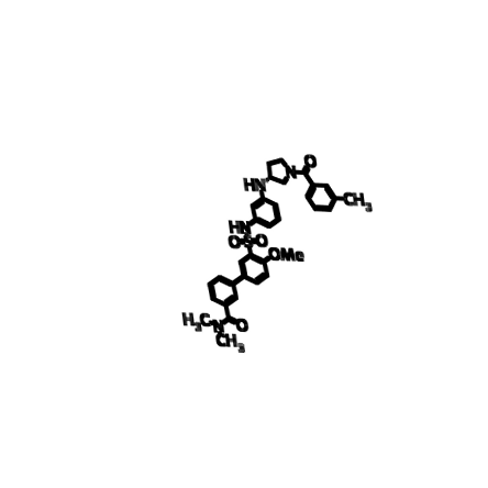 COc1ccc(-c2cccc(C(=O)N(C)C)c2)cc1S(=O)(=O)Nc1cccc(N[C@@H]2CCN(C(=O)c3cccc(C)c3)C2)c1